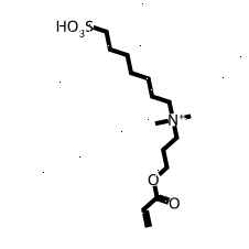 C=CC(=O)OCCC[N+](C)(C)CCCCCCCS(=O)(=O)O